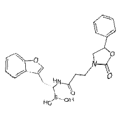 O=C(CCN1CC(c2ccccc2)OC1=O)N[C@@H](Cc1coc2ccccc12)B(O)O